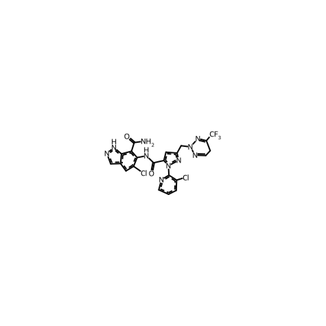 NC(=O)c1c(NC(=O)c2cc(CN3N=CCC(C(F)(F)F)=N3)nn2-c2ncccc2Cl)c(Cl)cc2cn[nH]c12